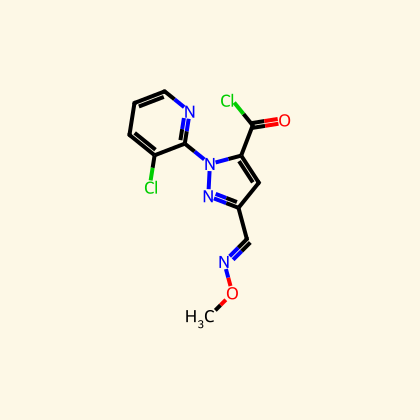 CON=Cc1cc(C(=O)Cl)n(-c2ncccc2Cl)n1